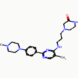 Cc1cnc(-c2ccc(N3CCN(C)CC3)cc2)nc1NCCCN1CCNC(=O)C1